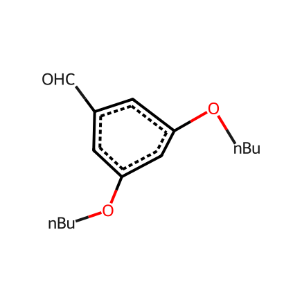 CCCCOc1cc(C=O)cc(OCCCC)c1